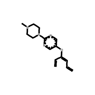 C=C/C=C(\C=C)Oc1cnc(N2CCN(C)CC2)nc1